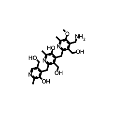 COc1c(C)nc(Cc2c(O)c(C)nc(Cc3c(CO)cnc(C)c3O)c2CO)c(CO)c1CN